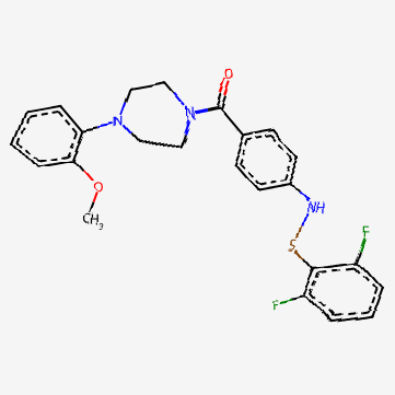 COc1ccccc1N1CCN(C(=O)c2ccc(NSc3c(F)cccc3F)cc2)CC1